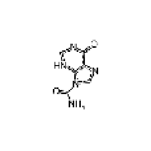 NC(=O)n1cnc2c(=O)nc[nH]c21